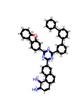 N=C1C=Cc2ccc3cc(-c4nc(-c5cccc(-c6cccc(-c7ccccc7)c6)c5)nc(-c5ccc6c(c5)oc5ccccc56)n4)ccc3c2C1=N